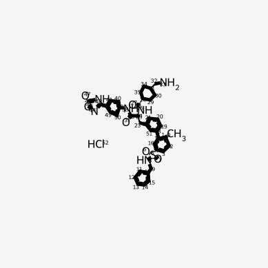 Cc1ccc(S(=O)(=O)NCc2ccccc2)cc1-c1cccc(C[C@H](NC(=O)[C@H]2CC[C@H](CN)CC2)C(=O)Nc2ccc(-c3noc(=O)[nH]3)cc2)c1.Cl